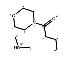 CCCC(=O)N1CCOCC1.CNC